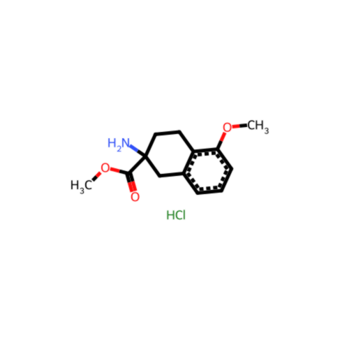 COC(=O)C1(N)CCc2c(cccc2OC)C1.Cl